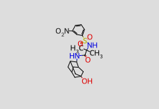 CC(C)(NS(=O)(=O)c1cccc([N+](=O)[O-])c1)C(=O)NC1C2CC3CC1CC(O)(C3)C2